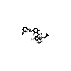 O=C(c1c(F)ccc(NSc2cccc(F)n2)c1F)c1c[nH]c2ncnc(NCC3CC3)c12